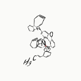 C/C=C/c1cccc(N(c2ccccc2)c2cccc3oc4cc(-n5c6ccccc6c6ccccc65)cc(N(c5ccccc5)c5ccccc5)c4c23)c1